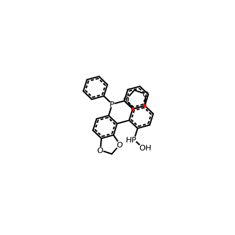 OPc1ccc2c(c1-c1c(P(c3ccccc3)c3ccccc3)ccc3c1OCO3)OCO2